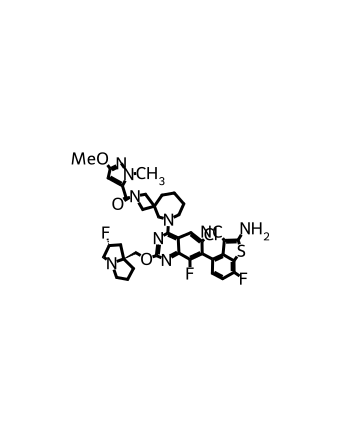 COc1cc(C(=O)N2CC3(CCCCN(c4nc(OC[C@@]56CCCN5C[C@H](F)C6)nc5c(F)c(-c6ccc(F)c7sc(N)c(C#N)c67)c(Cl)cc45)C3)C2)n(C)n1